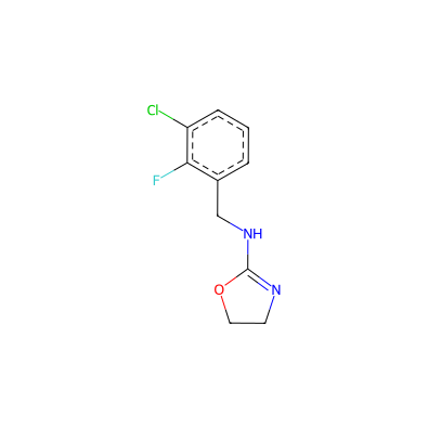 Fc1c(Cl)cccc1CNC1=NCCO1